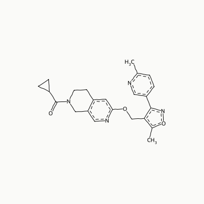 Cc1ccc(-c2noc(C)c2COc2cc3c(cn2)CN(C(=O)C2CC2)CC3)cn1